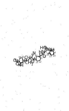 CC(C)(CCC(C#N)C(=O)N1CCC[C@H](OC(=O)N[C@@H](Cc2ccccc2)B(O)O)C1)N1CCN2C(=O)OC[C@H]2C1